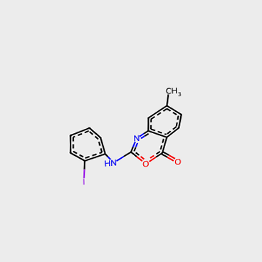 Cc1ccc2c(=O)oc(Nc3ccccc3I)nc2c1